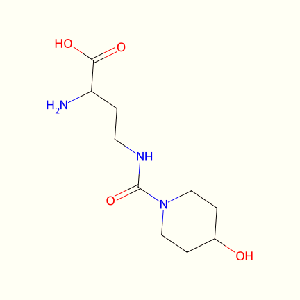 NC(CCNC(=O)N1CCC(O)CC1)C(=O)O